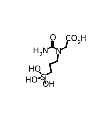 NC(=O)N(CCC[Si](O)(O)O)CC(=O)O